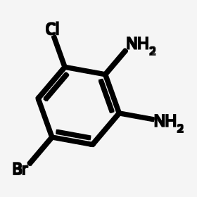 Nc1cc(Br)cc(Cl)c1N